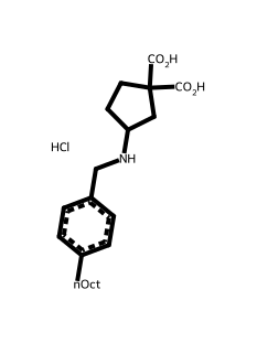 CCCCCCCCc1ccc(CNC2CCC(C(=O)O)(C(=O)O)C2)cc1.Cl